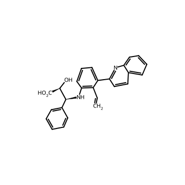 C=Cc1c(N[C@@H](c2ccccc2)[C@H](O)C(=O)O)cccc1-c1ccc2ccccc2n1